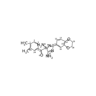 Cc1ccc(C(=O)[N+]2(N)N=C(c3ccc4c(c3)OCCO4)N=C2N)cc1C